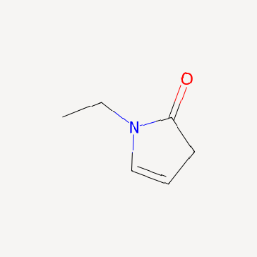 CCN1C=CCC1=O